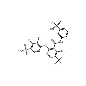 Cc1c(Oc2nnc(C(F)(F)F)c(C)c2C(=O)Nc2cccc(S(C)(=N)=O)c2)ncc(S(C)(=O)=O)c1F